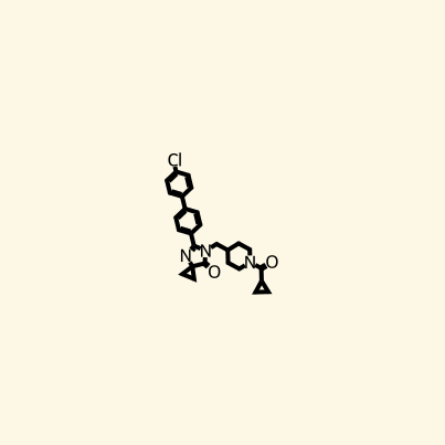 O=C(C1CC1)N1CCC(CN2C(=O)C3(CC3)N=C2c2ccc(-c3ccc(Cl)cc3)cc2)CC1